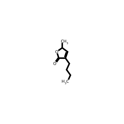 CCCCC1=CC(C)OC1=O